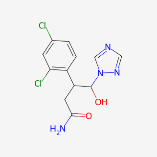 NC(=O)CC(c1ccc(Cl)cc1Cl)C(O)n1cncn1